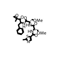 COC[C@H](NC(=O)c1cnc(C)s1)C(=O)N[C@@H](COC)C(=O)NC(Cc1ccccc1)C(=O)C1(C)CO1